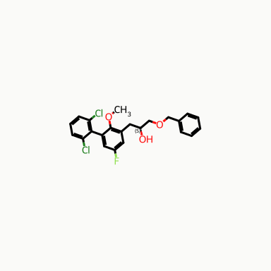 COc1c(C[C@H](O)COCc2ccccc2)cc(F)cc1-c1c(Cl)cccc1Cl